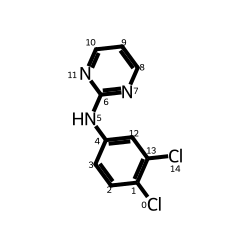 Clc1ccc(Nc2ncccn2)cc1Cl